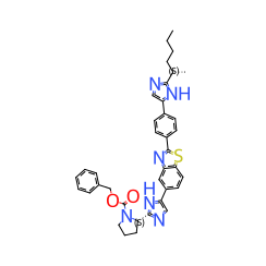 CCCC[C@H](C)c1ncc(-c2ccc(-c3nc4cc(-c5cnc([C@@H]6CCCN6C(=O)OCc6ccccc6)[nH]5)ccc4s3)cc2)[nH]1